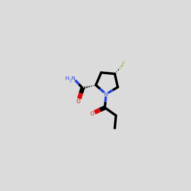 CCC(=O)N1C[C@@H](F)C[C@H]1C(N)=O